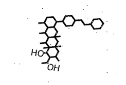 CC(O)C1C(C)CC2(C)CC3(C)CC4C(C5CCC(CCC6CCCCC6)CC5)CCC(C)C4C(C)C3C(C)C2(C)C1O